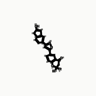 CCC1(CC)CC(=O)c2cc(-c3cc(-c4ccc5c(c4)C=C(O)C5)no3)ccc2O1